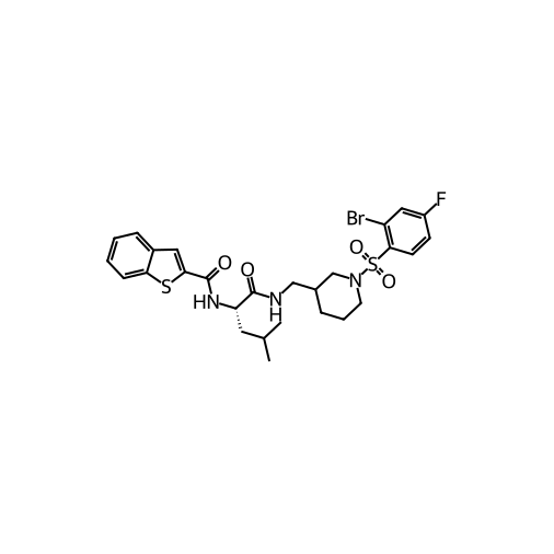 CC(C)C[C@H](NC(=O)c1cc2ccccc2s1)C(=O)NCC1CCCN(S(=O)(=O)c2ccc(F)cc2Br)C1